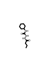 CCCC(=O)NNC(=O)NC1CCCCC1